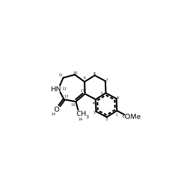 COc1ccc2c(c1)CCC1CCNC(=O)C(C)=C21